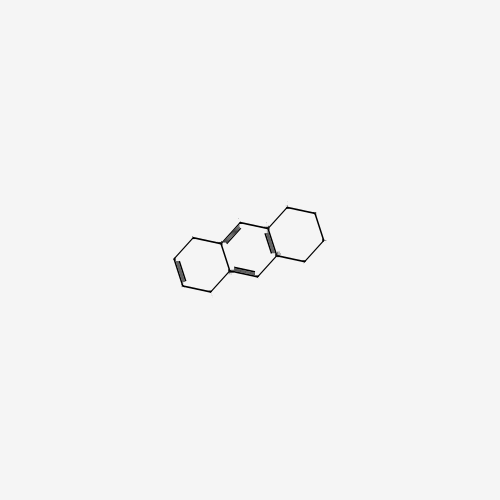 C1=CCc2cc3c(cc2C1)CCCC3